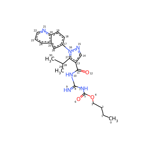 CCCCOC(=O)NC(=N)NC(=O)c1cnn(-c2ccc3ncccc3c2)c1C(C)C